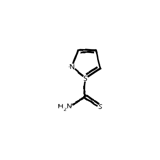 NC(=S)S1=CC=C[N]1